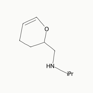 CC(C)NCC1CCC=CO1